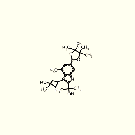 CC1(O)CC(n2c(C(C)(C)O)nc3cc(B4OC(C)(C)C(C)(C)O4)cc(C(F)(F)F)c32)C1